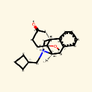 CO[C@@]12CCC(=O)C[C@@]13CCN(CC1CCC1)[C@@H]2Cc1ccccc13